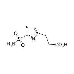 NS(=O)(=O)c1nc(CCC(=O)O)cs1